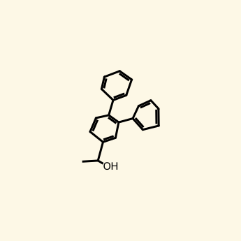 CC(O)c1ccc(-c2ccccc2)c(-c2ccccc2)c1